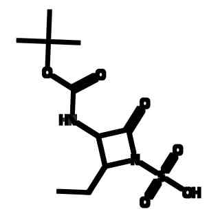 CCC1C(NC(=O)OC(C)(C)C)C(=O)N1S(=O)(=O)O